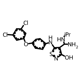 CC(C)NC(N)c1c(O)nsc1Nc1ccc(Oc2cc(Cl)cc(Cl)c2)cc1